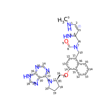 CN/C=C\C(=N)CN(C=O)Cc1ccc(OC[C@H]2CCCN2c2ncnc3[nH]cnc23)c2ccccc12